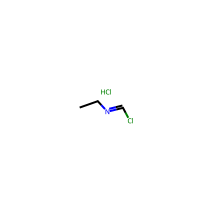 CCN=CCl.Cl